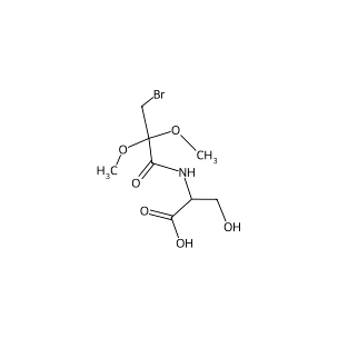 COC(CBr)(OC)C(=O)NC(CO)C(=O)O